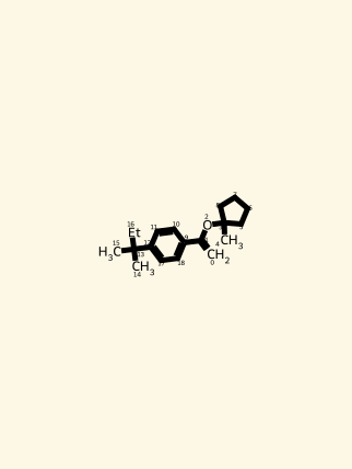 C=C(OC1(C)CCCC1)c1ccc(C(C)(C)CC)cc1